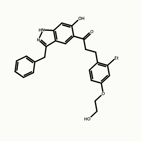 CCc1cc(OCCO)ccc1CCC(=O)c1cc2c(Cc3ccccc3)n[nH]c2cc1O